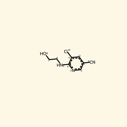 N#Cc1cnc(NCCO)c(Cl)c1